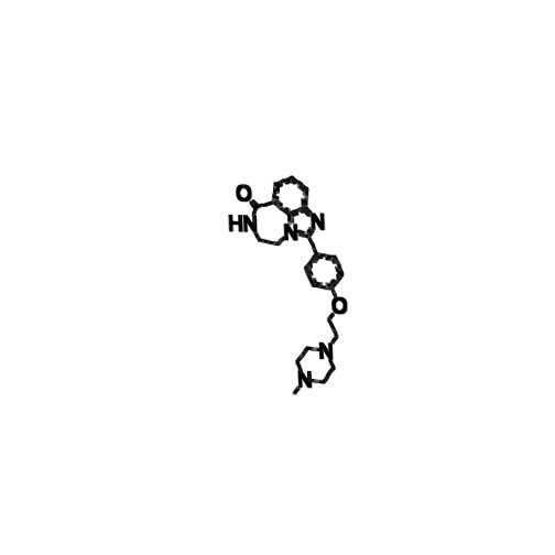 CN1CCN(CCOc2ccc(-c3nc4cccc5c4n3CCNC5=O)cc2)CC1